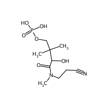 CN(CCC#N)C(=O)C(O)C(C)(C)COP(=O)(O)O